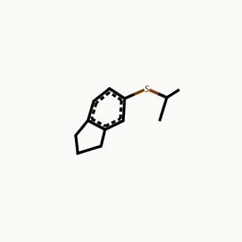 CC(C)Sc1ccc2c(c1)CCC2